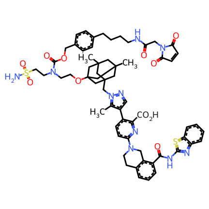 Cc1c(-c2ccc(N3CCc4cccc(C(=O)Nc5nc6ccccc6s5)c4C3)nc2C(=O)O)cnn1CC12CC3(C)CC(C)(C1)CC(OCCN(CCS(N)(=O)=O)C(=O)OCc1[c]cc(CCCCNC(=O)CN4C(=O)C=CC4=O)cc1)(C3)C2